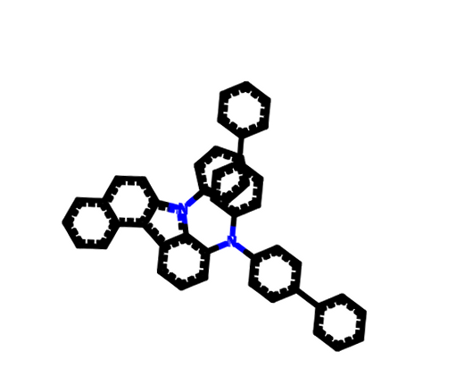 c1ccc(-c2ccc(N(c3ccc(-c4ccccc4)cc3)c3cccc4c5c6ccccc6ccc5n(-c5ccccc5)c34)cc2)cc1